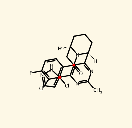 Cc1nc(-c2ccn[nH]2)c2c(n1)[C@@H]1CCC[C@H](C2)N1C(=O)c1ccc(F)c(Cl)c1Cl